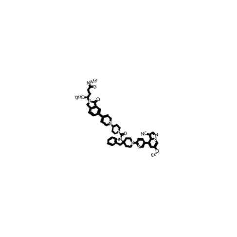 CCOc1cc(-c2ccc(N3CCC(Cc4ccccc4)(NC(=O)N4CCC(N5CCC(c6ccc7c(c6)C(=O)N(C(C=O)CCC(=O)NC)C7)CC5)CC4)CC3)nc2)c2c(C#N)cnn2c1